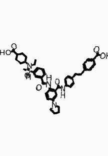 CCN(C1CCC(C(=O)O)CC1)[SH](C)(=O)c1cccc(C(=O)Nc2ccc(N3CCCC3)cc2C(=O)Nc2ccc(CCc3ccc(C(=O)O)cc3)cc2)c1